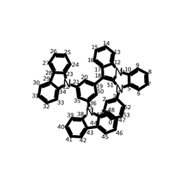 c1ccc(-n2c3ccccc3n3c4ccccc4c(-c4cc(-n5c6ccccc6c6ccccc65)cc(-n5c6ccccc6c6ccccc65)c4)c23)cc1